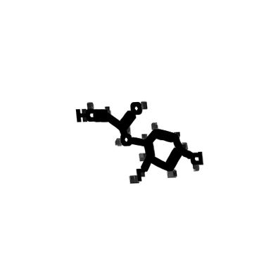 C#CC(=O)Oc1ccc(Cl)cc1F